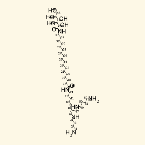 NCCCCNCC(CCCCCCNC(=O)CCCCCCCCCCCCCCCCCNC(=O)[C@H](O)[C@@H](O)[C@H](O)[C@H](O)CO)CNCCCCN